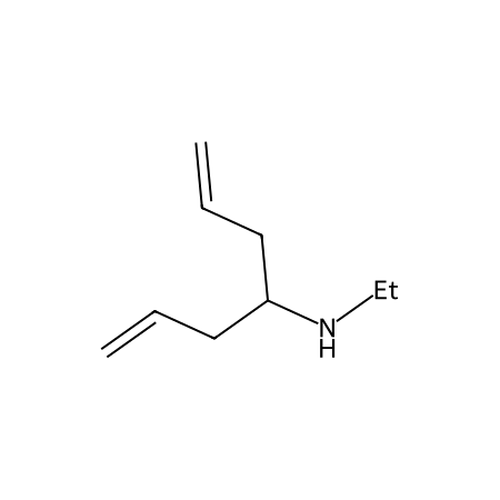 C=CCC(CC=C)NCC